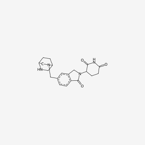 O=C1CCC(N2Cc3cc(CN4CC5CCC4CN5)ccc3C2=O)C(=O)N1